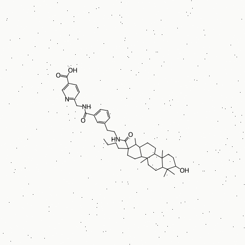 CCCCC1(C(=O)NCCc2cccc(C(=O)NCc3ccc(C(=O)O)cn3)c2)CCC2C(CCC3C2(C)CCC2C(C)(C)C(O)CCC23C)C1C